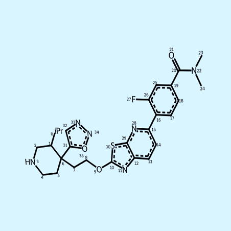 CC(C)C1CNCCC1(CCOc1nc2ccc(-c3ccc(C(=O)N(C)C)cc3F)nc2s1)c1cnno1